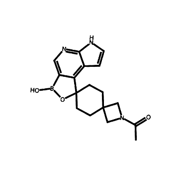 CC(=O)N1CC2(CCC3(CC2)OB(O)c2cnc4[nH]ccc4c23)C1